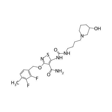 Cc1ccc(COc2nsc(NC(=O)NCCCCN3CCCC(O)C3)c2C(N)=O)c(F)c1F